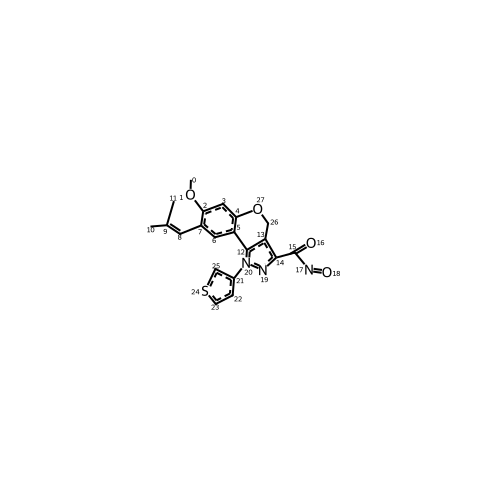 COc1cc2c(cc1C=C(C)C)-c1c(c(C(=O)N=O)nn1-c1ccsc1)CO2